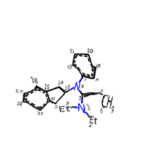 CC=C(N(CC)CC)N(c1ccccc1)C1Cc2ccccc2C1